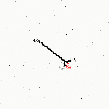 CCCCCCCCCCCCCCCCCCCCC(C=C(C)C(=O)O)CCCC